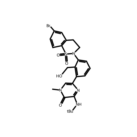 Cn1cc(-c2cccc(N3CCc4cc(Br)ccc4S3(=O)=O)c2CO)nc(NC(C)(C)C)c1=O